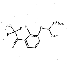 CCCCCCC(CCC)Oc1cccc(C(=O)C(O)(F)F)c1F